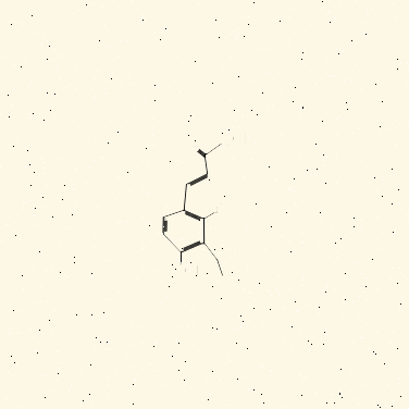 CCc1c(O)ccc(C=CC(=O)O)c1Cl